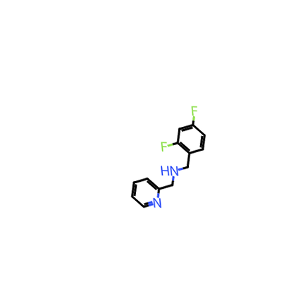 Fc1ccc(CNCc2ccccn2)c(F)c1